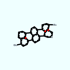 CC(C)(C)c1ccc(-c2ccc(-c3cccnc3)c3c(-c4ccc(C(C)(C)C)cc4)ccc(-c4cccnc4)c23)cc1